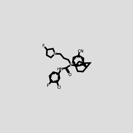 N#Cc1cccc(C23CCC(N(CCCN4CCC(F)C4)C(=O)Nc4ccc(F)c(Cl)c4)CC2C3)c1